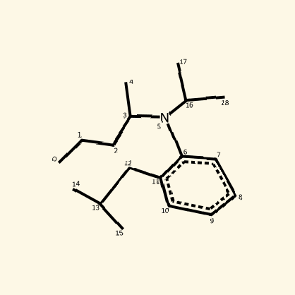 CCCC(C)N(c1ccccc1CC(C)C)C(C)C